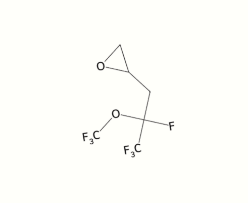 FC(F)(F)OC(F)(CC1CO1)C(F)(F)F